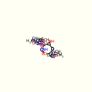 CCn1c(-c2cccnc2[C@H](C)OC)c2c3cc(ccc31)-c1cc(O)cc(c1)C[C@H](NC(=O)[C@H](C(C)C)N(C)C(=O)[C@@H]1CCN(C(=O)CN(C)C)[C@@]1(C)c1ccccc1)C(=O)N1CCC[C@](C=O)(COCC(C)(C)C2)N1